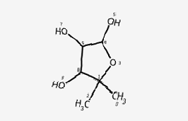 CC1(C)OC(O)C(O)C1O